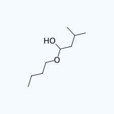 CCCCOC(O)CC(C)C